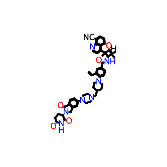 C=Cc1cc(C(=O)NC2C(C)(C)[C@@H]3Oc4ccc(C#N)c5nccc(c45)C23C)ccc1N1CCC(CN2CCN(c3ccc4c(c3)CN([C@H]3CCC(=O)NC3=O)C4=O)CC2)CC1